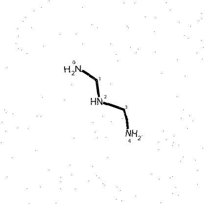 NCNCN